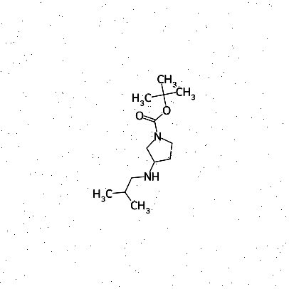 CC(C)CNC1CCN(C(=O)OC(C)(C)C)C1